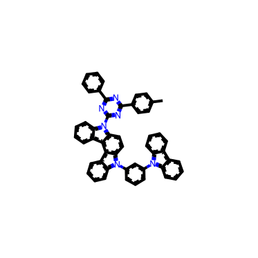 Cc1ccc(-c2nc(-c3ccccc3)nc(-n3c4ccccc4c4c5c6ccccc6n(-c6cccc(-n7c8ccccc8c8ccccc87)c6)c5ccc43)n2)cc1